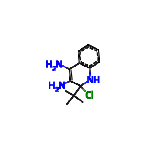 CC(C)(C)C1(Cl)Nc2ccccc2C(N)=C1N